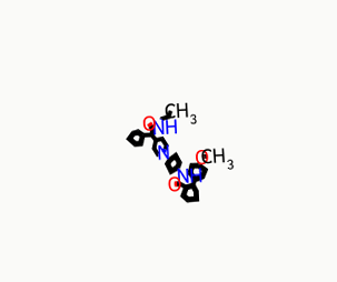 CCCNC(=O)C(c1ccccc1)C1CCN(c2ccc(NC(=O)c3ccccc3-c3ccc(OC)cc3)cc2)CC1